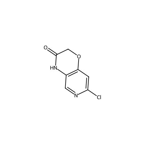 O=C1COc2cc(Cl)ncc2N1